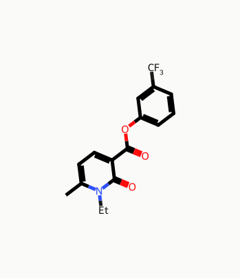 CCn1c(C)ccc(C(=O)Oc2cccc(C(F)(F)F)c2)c1=O